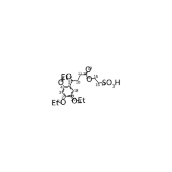 CCOc1cc(OCC)c(C(=O)CCC(=O)OCCS(=O)(=O)O)cc1OCC